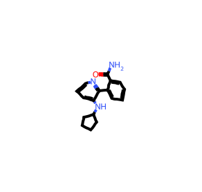 NC(=O)c1ccccc1-c1ncccc1NC1CCCC1